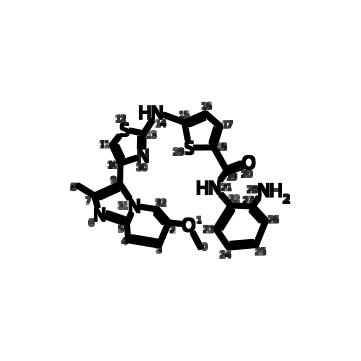 COc1ccc2nc(C)c(-c3csc(Nc4ccc(C(=O)Nc5ccccc5N)s4)n3)n2c1